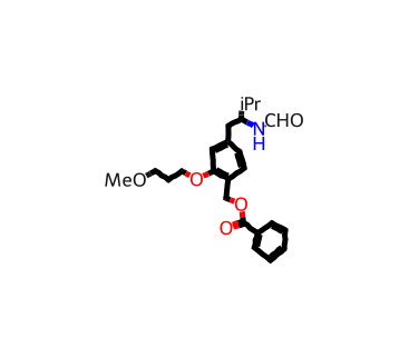 COCCCOc1cc(CC(NC=O)C(C)C)ccc1COC(=O)c1ccccc1